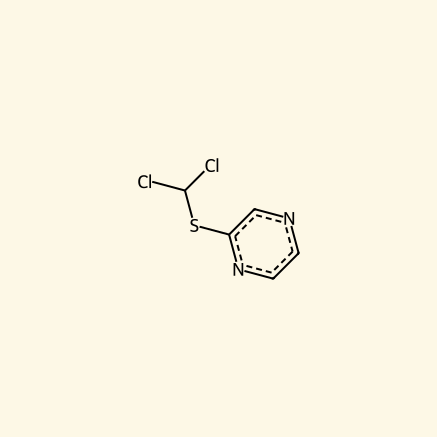 ClC(Cl)Sc1cnccn1